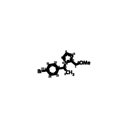 COCc1nccn1C(C)c1ccc(Br)cc1